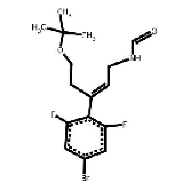 CC(C)(C)OCC/C(=C\CNC=O)c1c(F)cc(Br)cc1F